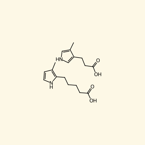 Cc1c[nH]cc1CCC(=O)O.Cc1cc[nH]c1CCCCC(=O)O